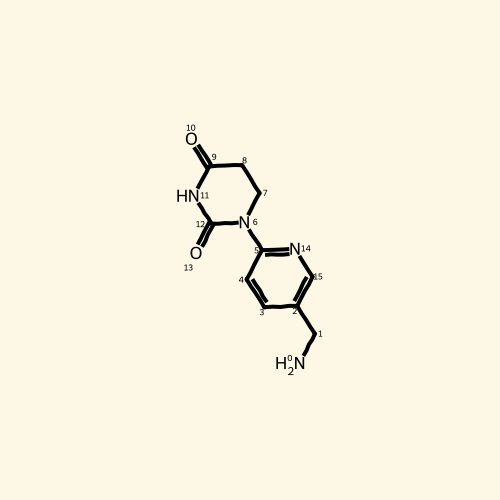 NCc1ccc(N2CCC(=O)NC2=O)nc1